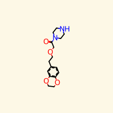 O=C(COCCc1ccc2c(c1)OCCO2)N1CCNCC1